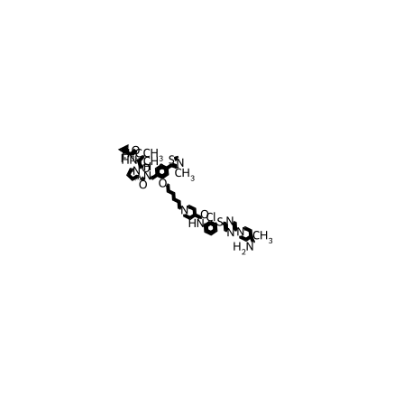 Cc1ncsc1-c1ccc(CNC(=O)[C@@H]2CCCN2C(=O)[C@@H](NC(=O)C2(F)CC2)C(C)(C)C)c(OCCCCCCN2CCC(C(=O)Nc3cccc(Sc4cnc(N5CCC(C)(CN)CC5)cn4)c3Cl)CC2)c1